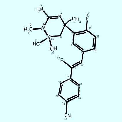 CN1C(N)=NC(C)(c2cc(C=C(F)c3ccc(C#N)cc3)ccc2F)CS1(O)O